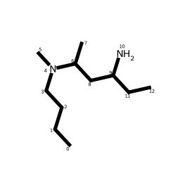 CCCCN(C)C(C)CC(N)CC